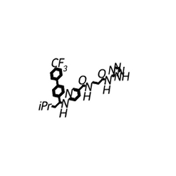 CC(C)CC(Nc1ccc(C(=O)NCCC(=O)Nc2nnn[nH]2)cn1)c1ccc(-c2ccc(C(F)(F)F)cc2)cc1